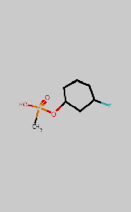 CP(=O)(O)OC1CCCC(F)C1